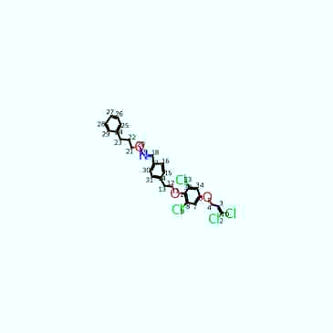 ClC(Cl)=CCOc1cc(Cl)c(OCCc2ccc(/C=N/OCCCc3ccccc3)cc2)c(Cl)c1